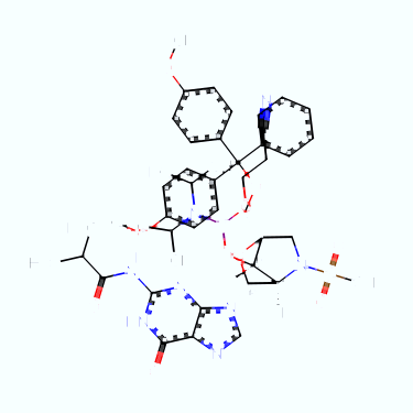 COc1ccc(C(OC[C@@]23CN(S(C)(=O)=O)[C@@H]([C@H](n4cnc5c(=O)[nH]c(NC(=O)C(C)C)nc54)O2)[C@@H]3OP(OCCC#N)N(C(C)C)C(C)C)(c2ccccc2)c2ccc(OC)cc2)cc1